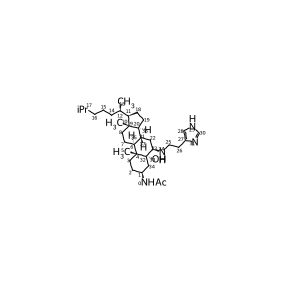 CC(=O)N[C@H]1CC[C@]2(C)[C@H]3CC[C@]4(C)[C@@H]([C@H](C)CCCC(C)C)CC[C@H]4[C@@H]3C[C@@H](NCCc3c[nH]cn3)[C@@]2(O)C1